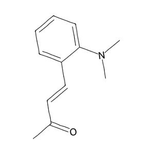 CC(=O)C=Cc1ccccc1N(C)C